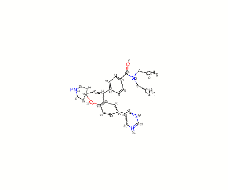 CCN(CC)C(=O)c1ccc(C2=CC3(CCNCC3)Oc3ccc(-c4cncnc4)cc32)cc1